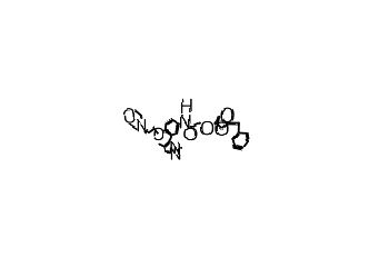 Cc1cnn(C)c1-c1cc(NC(=O)COC2=COC(Cc3ccccc3)O2)ccc1OCCN1CCOCC1